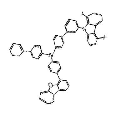 Fc1cccc2c1c1cccc(I)c1n2-c1cccc(-c2ccc(N(c3ccc(-c4ccccc4)cc3)c3ccc(-c4cccc5c4oc4ccccc45)cc3)cc2)c1